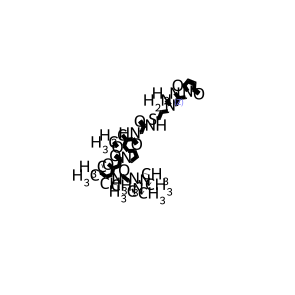 CCC(C)C(C(CC(=O)N1CCCC1C(OC)C(C)C(=O)NCC(=O)NSCCCN(N)/C=C(\N)CN1C(=O)C=CC1=O)OC)N(C)C(=O)CN=C(N(C)C)N(C)C